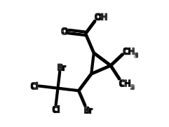 CC1(C)C(C(=O)O)C1C(Br)C(Cl)(Cl)Br